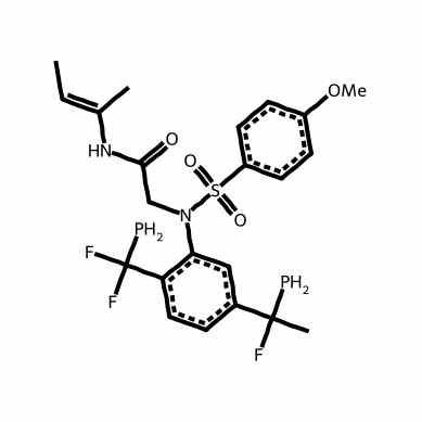 C/C=C(\C)NC(=O)CN(c1cc(C(C)(F)P)ccc1C(F)(F)P)S(=O)(=O)c1ccc(OC)cc1